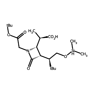 C[C@@H](C(=O)O)[C@@H]1[C@H]([C@@H](CO[SiH](C)C)C(C)(C)C)C(=O)N1CC(=O)OC(C)(C)C